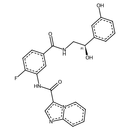 O=C(NC[C@H](O)c1cccc(O)c1)c1ccc(F)c(NC(=O)c2cnc3ccccn23)c1